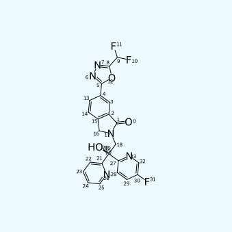 O=C1c2cc(-c3nnc(C(F)F)o3)ccc2CN1C[C@@](O)(c1ccccn1)c1ccc(F)cn1